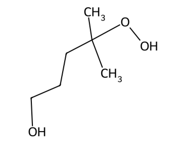 CC(C)(CCCO)OO